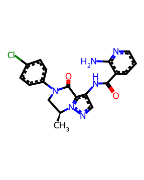 C[C@H]1CN(c2ccc(Cl)cc2)C(=O)c2c(NC(=O)c3cccnc3N)cnn21